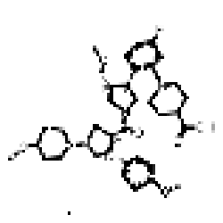 COC[C@H]1CN(C(=O)[C@@H]2CN(C3CCC(OC)CC3)C[C@H]2c2ccc(OC)cc2)C[C@@H]1c1ccc(F)cc1N1CCC(C(=O)O)CC1